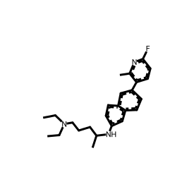 CCN(CC)CCCC(C)Nc1ccc2cc(-c3ccc(F)nc3C)ccc2c1